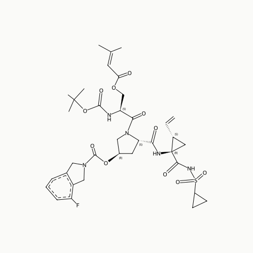 C=C[C@@H]1C[C@]1(NC(=O)[C@@H]1C[C@@H](OC(=O)N2Cc3cccc(F)c3C2)CN1C(=O)[C@H](COC(=O)C=C(C)C)NC(=O)OC(C)(C)C)C(=O)NS(=O)(=O)C1CC1